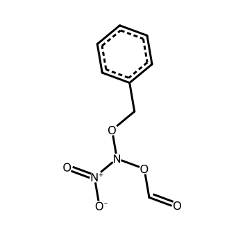 O=CON(OCc1ccccc1)[N+](=O)[O-]